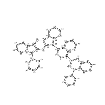 c1ccc(-c2nc(-c3ccc(-n4c5ccccc5c5cc6c7ccccc7n(-c7ccccn7)c6cc54)c4ccccc34)nc3ccccc23)cc1